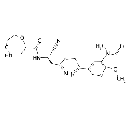 COc1ccc(-c2ccc(C[C@H](C#N)NC(=O)[C@@H]3CNCCCO3)nn2)cc1N(C)C=O